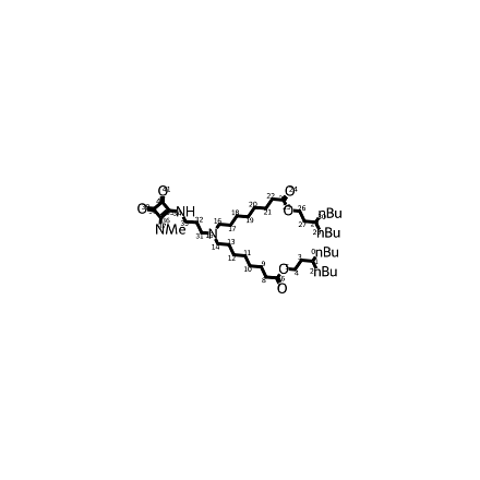 CCCCC(CCCC)CCOC(=O)CCCCCCCN(CCCCCCCC(=O)OCCC(CCCC)CCCC)CCCNc1c(NC)c(=O)c1=O